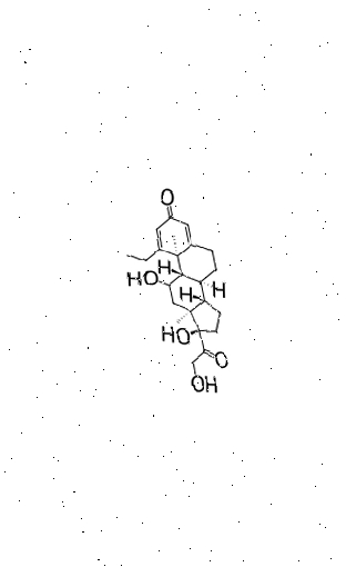 CCC1=CC(=O)C=C2CC[C@@H]3[C@H](C(O)C[C@@]4(C)[C@H]3CC[C@]4(O)C(=O)CO)[C@@]12C